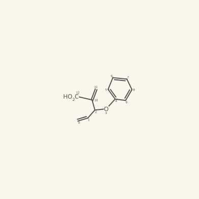 C=CC(Oc1ccccc1)C(=C)C(=O)O